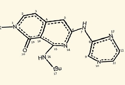 CCn1ccc2cc(Nc3cnccn3)nc(NC(C)(C)C)c2c1=O